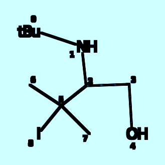 CC(C)(C)NC(CO)C(C)(C)I